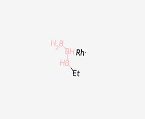 BBBCC.[Rh]